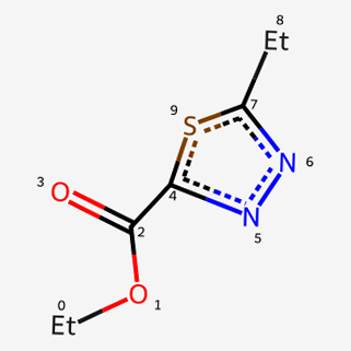 CCOC(=O)c1nnc(CC)s1